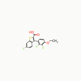 CCOc1ccc(-c2c(C(=O)O)sc3cc(F)ccc23)c(F)c1F